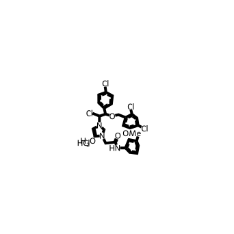 COc1cccc(NC(=O)CN2C=CN(C(Cl)C(OCc3ccc(Cl)cc3Cl)c3ccc(Cl)cc3)C2)c1.Cl.O